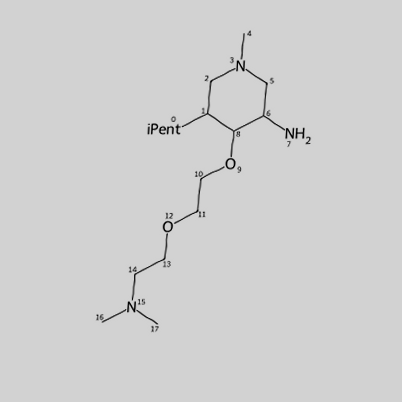 CCCC(C)C1CN(C)CC(N)C1OCCOCCN(C)C